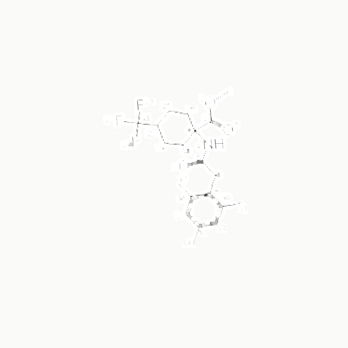 COC(=O)C1(NC(=O)Cc2c(C)cc(C)cc2C)CCC(C(F)(F)F)CC1